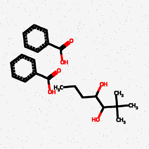 CCCC(O)C(O)C(C)(C)C.O=C(O)c1ccccc1.O=C(O)c1ccccc1